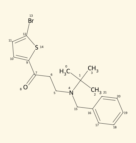 CC(C)(C)N(CCC(=O)c1ccc(Br)s1)Cc1ccccc1